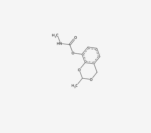 CNC(=O)Oc1cccc2c1OC(C)OC2